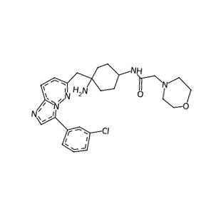 NC1(Cc2ccc3ncc(-c4cccc(Cl)c4)n3n2)CCC(NC(=O)CN2CCOCC2)CC1